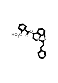 O=C(O)c1ccccc1C(=O)OC1CCn2c(CCc3ccccc3)nc3cccc1c32